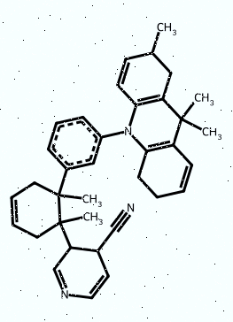 CC1C=CC2=C(C1)C(C)(C)C1=C(CCC=C1)N2c1cccc(C2(C)CC=CCC2(C)C2C=NC=CC2C#N)c1